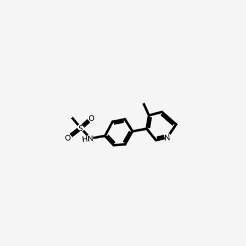 Cc1ccncc1-c1ccc(NS(C)(=O)=O)cc1